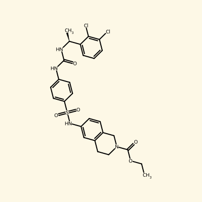 CCOC(=O)N1CCc2cc(NS(=O)(=O)c3ccc(NC(=O)N[C@@H](C)c4cccc(Cl)c4Cl)cc3)ccc2C1